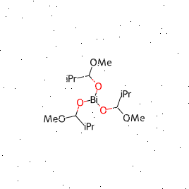 COC([O][Bi]([O]C(OC)C(C)C)[O]C(OC)C(C)C)C(C)C